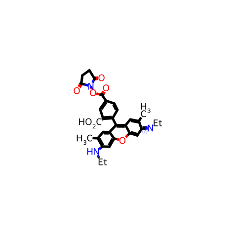 CC/N=c1/cc2oc3cc(NCC)c(C)cc3c(-c3ccc(C(=O)ON4C(=O)CCC4=O)cc3C(=O)O)c-2cc1C